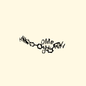 BBN1CCC(c2ccc(NC(=O)c3cccc(-c4ccn[nH]4)n3)c(OC)c2)CC1